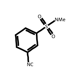 [C-]#[N+]c1cccc(S(=O)(=O)[NH2+][CH2-])c1